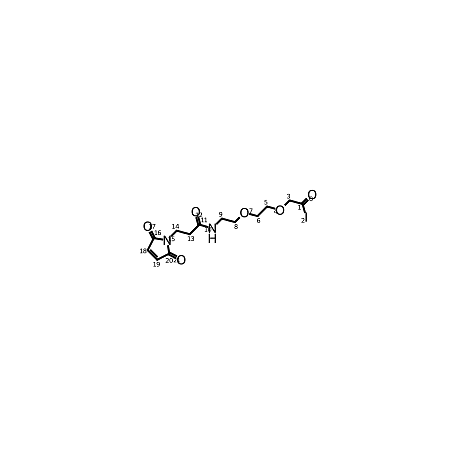 O=C(I)COCCOCCNC(=O)CCN1C(=O)C=CC1=O